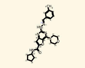 Cc1cccc(/C=N/Nc2nc(N3CCOCC3)c3oc(C(=O)NC4CCCC4)cc3n2)c1